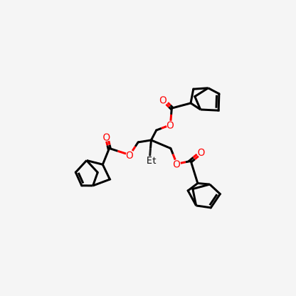 CCC(COC(=O)C1CC2C=CC1C2)(COC(=O)C1CC2C=CC1C2)COC(=O)C1CC2C=CC1C2